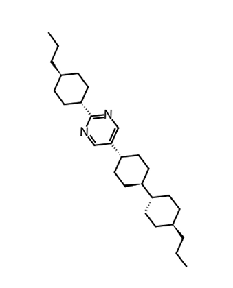 CCC[C@H]1CC[C@H](c2ncc([C@H]3CC[C@H]([C@H]4CC[C@H](CCC)CC4)CC3)cn2)CC1